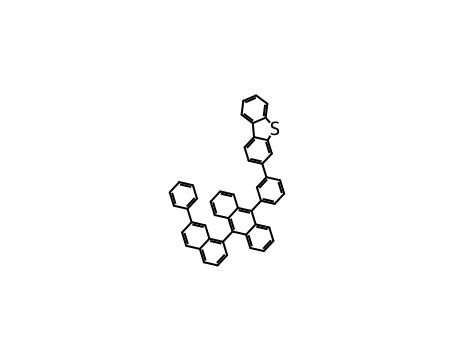 c1ccc(-c2ccc3cccc(-c4c5ccccc5c(-c5cccc(-c6ccc7c(c6)sc6ccccc67)c5)c5ccccc45)c3c2)cc1